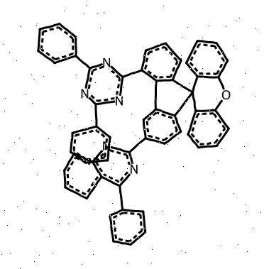 c1ccc(-c2nc(-c3ccccc3)nc(-c3cccc4c3-c3cc(-c5nc(-c6ccccc6)c6ccccc6n5)ccc3C43c4ccccc4Oc4ccccc43)n2)cc1